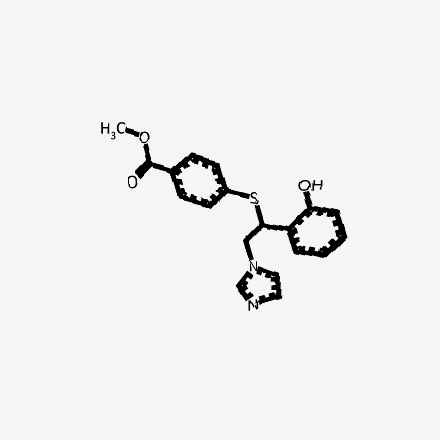 COC(=O)c1ccc(SC(Cn2ccnc2)c2ccccc2O)cc1